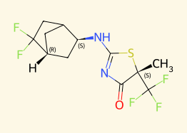 C[C@]1(C(F)(F)F)SC(N[C@H]2C[C@H]3CC2CC3(F)F)=NC1=O